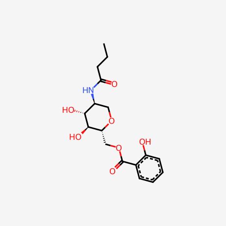 CCCC(=O)N[C@H]1CO[C@H](COC(=O)c2ccccc2O)[C@@H](O)[C@@H]1O